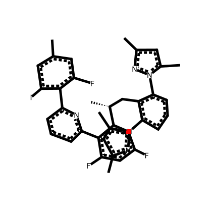 Cc1cc(F)c(-c2cccc(-c3c(F)cc(F)cc3[C@H](C)Cc3c(-n4nc(C)cc4C)cccc3-n3nc(C)cc3C)n2)c(I)c1